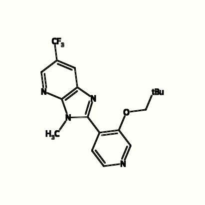 Cn1c(-c2ccncc2OCC(C)(C)C)nc2cc(C(F)(F)F)cnc21